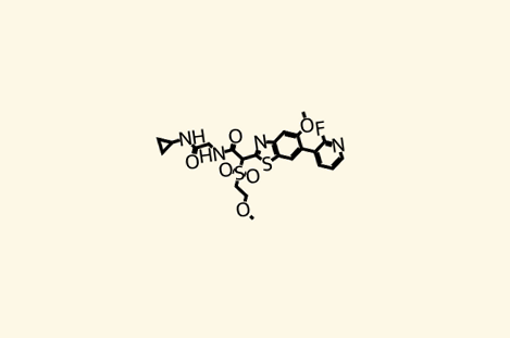 COCCS(=O)(=O)C(C(=O)NCC(=O)NC1CC1)c1nc2cc(OC)c(-c3cccnc3F)cc2s1